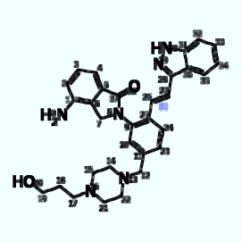 Nc1cccc2c1CN(c1cc(CN3CCN(CCCO)CC3)ccc1/C=C/c1n[nH]c3ccccc13)C2=O